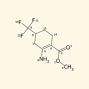 COC(=O)C1=C(N)CC(C(F)(F)F)CC1